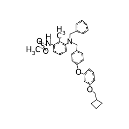 Cc1c(NS(C)(=O)=O)cccc1N(Cc1ccccc1)Cc1ccc(Oc2cccc(OCC3CCC3)c2)cc1